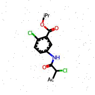 CC(=O)C(Cl)C(=O)Nc1ccc(Cl)c(C(=O)OC(C)C)c1